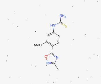 COc1cc(NC(N)=S)ccc1-c1nc(C)no1